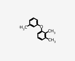 [CH2]c1cccc(Oc2cccc(C)c2C)c1